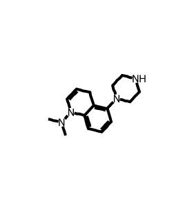 CN(C)N1C=CCc2c(N3CCNCC3)cccc21